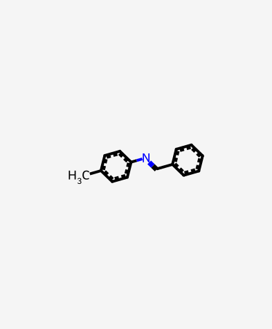 Cc1ccc(N=Cc2ccccc2)cc1